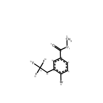 COC(=O)c1ccc(Br)c(CC(F)(F)F)c1